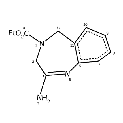 CCOC(=O)N1CC(N)=Nc2ccccc2C1